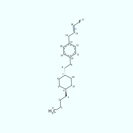 CCCC[C@H]1CC[C@H](CCc2ccc(C/C=C/F)cc2)CC1